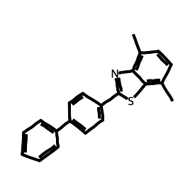 Cc1ccc(C)c2sc(-c3ccc(-c4ccccc4)cc3)nc12